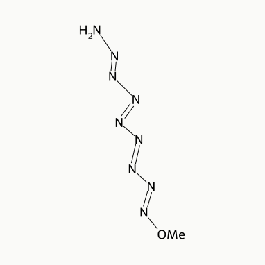 CON=NN=NN=NN=NN